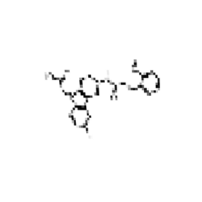 COc1ccccc1CCC(=O)NC1CCc2c(c3cc(F)ccc3n2CC(=O)O)C1